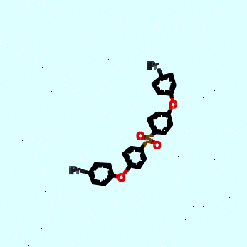 CC(C)c1ccc(Oc2ccc(S(=O)(=O)c3ccc(Oc4ccc(C(C)C)cc4)cc3)cc2)cc1